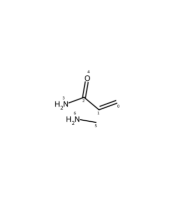 C=CC(N)=O.CN